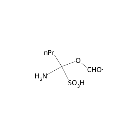 CCCC(N)(O[C]=O)S(=O)(=O)O